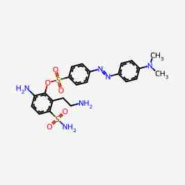 CN(C)c1ccc(N=Nc2ccc(S(=O)(=O)Oc3c(N)ccc(S(N)(=O)=O)c3CCN)cc2)cc1